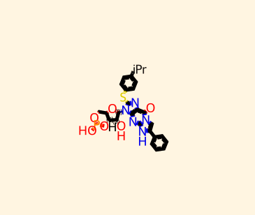 CC(C)c1ccc(Sc2nc3c(=O)n4cc(-c5ccccc5)[nH]c4nc3n2[C@@H]2OC3COP(O)O[C@H]3[C@@H]2O)cc1